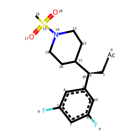 CC(=O)C[C@@H](c1cc(F)cc(F)c1)C1CCN(S(C)(=O)=O)CC1